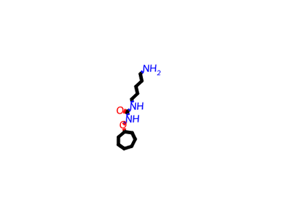 NCCCCCNC(=O)NOC1CCCCCC1